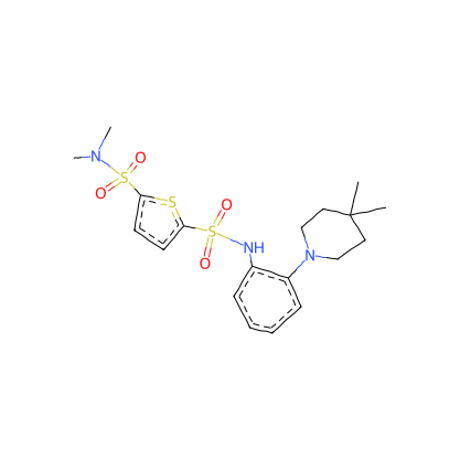 CN(C)S(=O)(=O)c1ccc(S(=O)(=O)Nc2ccccc2N2CCC(C)(C)CC2)s1